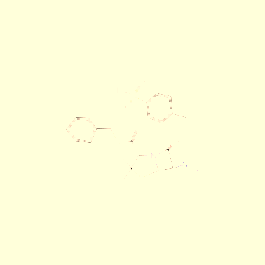 CC1(C)S[C@H]2N(C(=O)[C@@]2(C)N)[C@H]1C(=O)SCc1ccccc1.Cc1ccc(S(=O)(=O)O)cc1